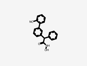 N#Cc1ccccc1-c1cccc(C(C(=O)NO)c2ccccc2)c1